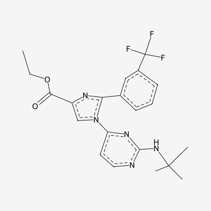 CCOC(=O)c1cn(-c2ccnc(NC(C)(C)C)n2)c(-c2cccc(C(F)(F)F)c2)n1